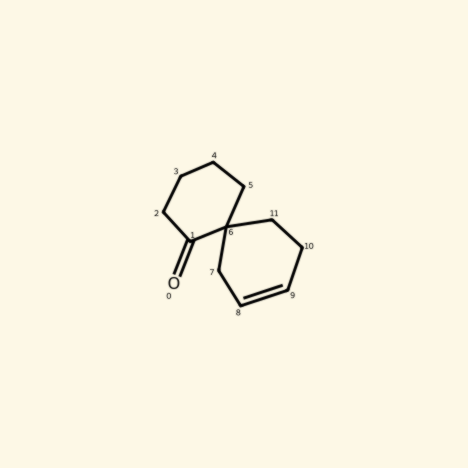 O=C1CCCCC12CC=CCC2